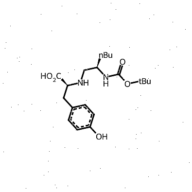 CCCC[C@H](CN[C@@H](Cc1ccc(O)cc1)C(=O)O)NC(=O)OC(C)(C)C